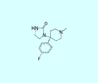 CN1CCC(c2ccc(F)cc2)(N2CCNC2=O)CC1